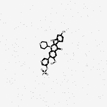 CCOc1cc2c(=O)c3c4ccc(C#N)cc4[nH]c3n(C3CCOCC3)c2cc1-c1cncc(OS(=O)(=O)F)c1